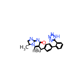 CCCCc1c(Cc2ccc(-c3ccccc3-c3nnn[nH]3)cc2)c(=O)nc2n1C(C)C=N2